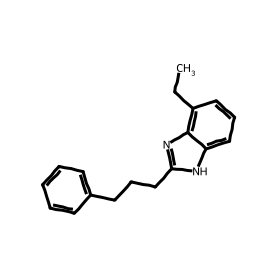 CCc1cccc2[nH]c(CCCc3ccccc3)nc12